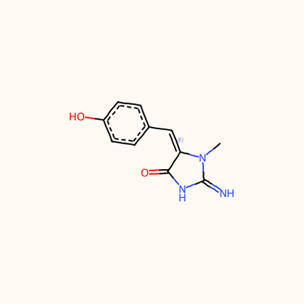 CN1C(=N)NC(=O)/C1=C\c1ccc(O)cc1